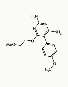 COCCOc1nc(N)nc(N)c1-c1ccc(OC(F)(F)F)cc1